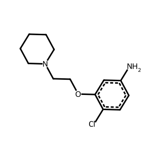 Nc1ccc(Cl)c(OCCN2CCCCC2)c1